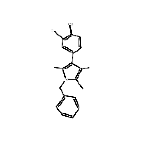 Cc1c(-c2ccc(C#N)c(Cl)c2)c(C)n(Cc2ccccc2)c1C